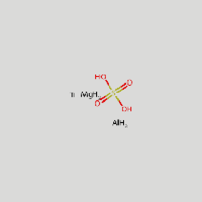 O=S(=O)(O)O.[AlH3].[MgH2].[Ti]